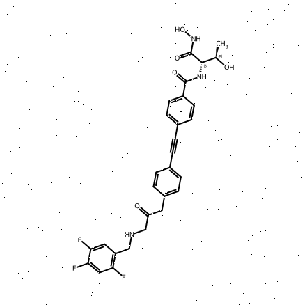 C[C@@H](O)[C@H](NC(=O)c1ccc(C#Cc2ccc(CC(=O)CNCc3cc(F)c(F)cc3F)cc2)cc1)C(=O)NO